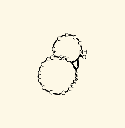 O=C1NCCCCCCCCCCCCC2CCCCCCCCCCCCCCCCCCSSCc3cc(cc1c3)CSS2